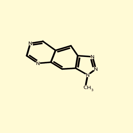 Cn1nnc2cc3[c]ncnc3cc21